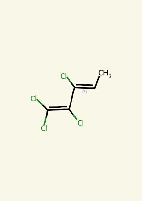 C/C=C(\Cl)C(Cl)=C(Cl)Cl